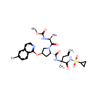 C=CC[C@](C)(NC(=O)[C@@H]1C[C@@H](Oc2nccc3cc(CC)ccc23)CN1C(=O)[C@@H](NC(=O)OC(C)(C)C)C(C)(C)C)C(=O)NS(=O)(=O)C1CC1